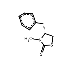 CN1C(=S)SC[C@H]1Cc1ccccc1